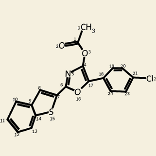 CC(=O)Oc1nc(-c2cc3ccccc3s2)oc1-c1ccc(Cl)cc1